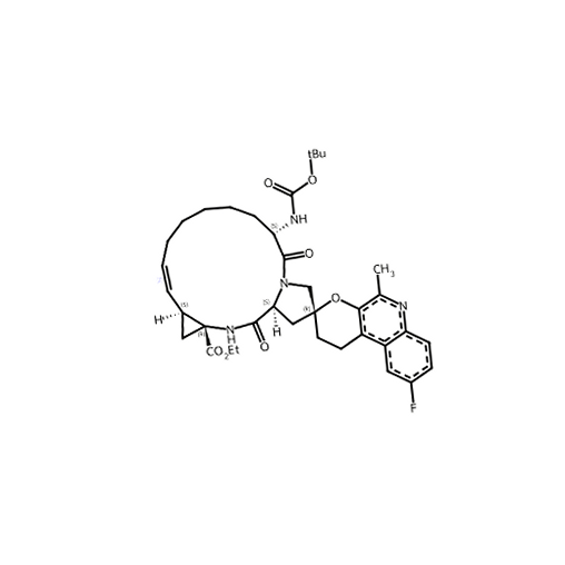 CCOC(=O)[C@@]12C[C@H]1/C=C\CCCCC[C@H](NC(=O)OC(C)(C)C)C(=O)N1C[C@@]3(CCc4c(c(C)nc5ccc(F)cc45)O3)C[C@H]1C(=O)N2